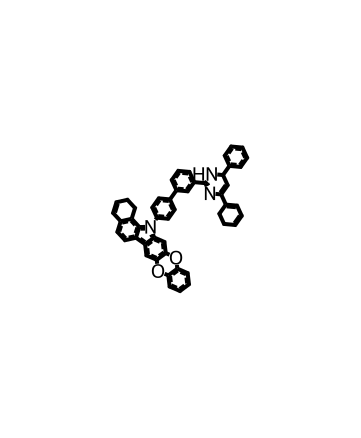 C1=CCCC(C2=CC(c3ccccc3)NC(c3cccc(-c4ccc(-n5c6cc7c(cc6c6ccc8c(c65)CCC=C8)Oc5ccccc5O7)cc4)c3)=N2)=C1